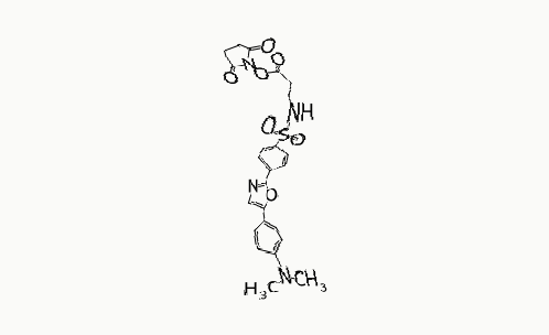 CN(C)c1ccc(-c2cnc(-c3ccc(S(=O)(=O)NCCC(=O)ON4C(=O)CCC4=O)cc3)o2)cc1